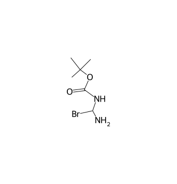 CC(C)(C)OC(=O)NC(N)Br